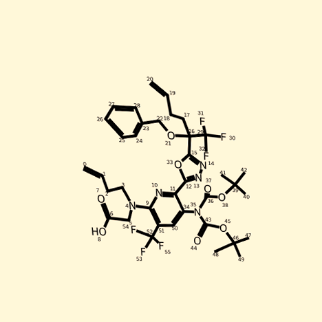 C=CCCN(CC(=O)O)c1nc(-c2nnc(C(CCC=C)(OCc3ccccc3)C(F)(F)F)o2)c(N(C(=O)OC(C)(C)C)C(=O)OC(C)(C)C)cc1C(F)(F)F